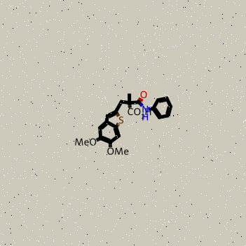 COc1cc2cc(CC(C)(C(=O)O)C(=O)Nc3ccccc3)sc2cc1OC